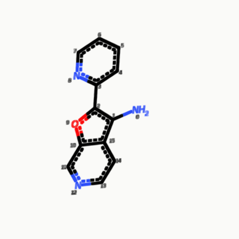 Nc1c(-c2ccccn2)oc2cnccc12